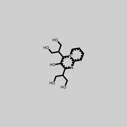 OCC(CO)c1nc2cccc[n+]2c(C(CO)CO)c1O